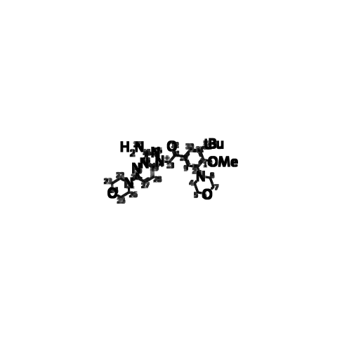 COc1c(N2CCOCC2)cc(C(=O)C[n+]2nc(N)n3nc(N4CCOCC4)ccc32)cc1C(C)(C)C